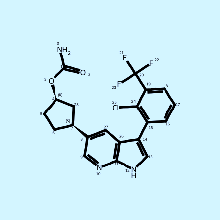 NC(=O)O[C@@H]1CC[C@H](c2cnc3[nH]cc(-c4cccc(C(F)(F)F)c4Cl)c3c2)C1